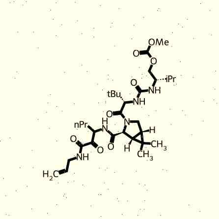 C=CCNC(=O)C(=O)C(CCC)NC(=O)[C@@H]1[C@@H]2[C@H](CN1C(=O)[C@@H](NC(=O)N[C@H](COC(=O)OC)C(C)C)C(C)(C)C)C2(C)C